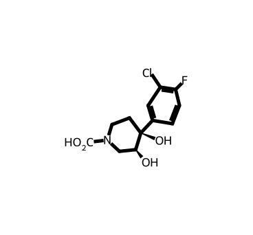 O=C(O)N1CC[C@](O)(c2ccc(F)c(Cl)c2)[C@@H](O)C1